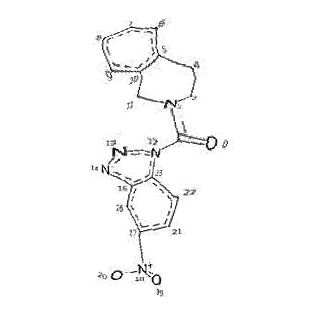 O=C(N1CCc2ccccc2C1)n1nnc2cc([N+](=O)[O-])ccc21